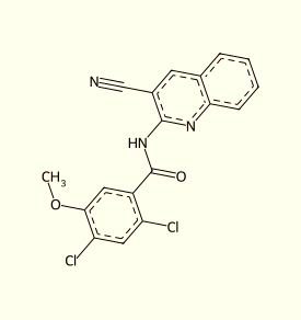 COc1cc(C(=O)Nc2nc3ccccc3cc2C#N)c(Cl)cc1Cl